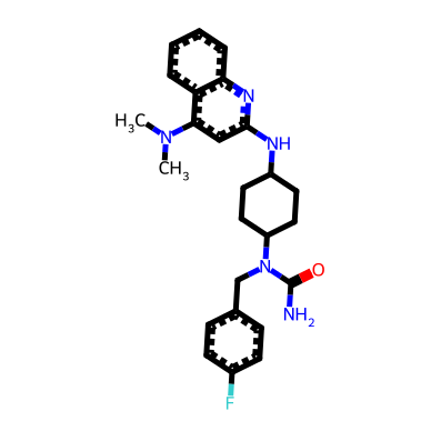 CN(C)c1cc(NC2CCC(N(Cc3ccc(F)cc3)C(N)=O)CC2)nc2ccccc12